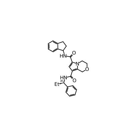 CC[C@@H](NC(=O)c1cc(C(=O)NC2CCc3ccccc32)n2c1COCC2)c1ccccc1